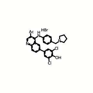 Br.CC(=O)c1cnc2ccc(-c3cc(Cl)c(O)c(Cl)c3)cc2c1Nc1ccc(CN2CCCC2)cc1